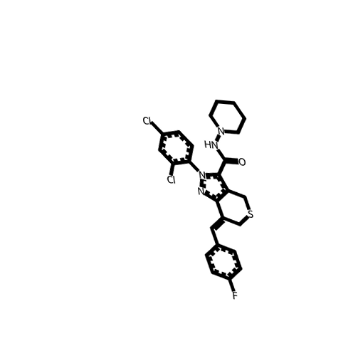 O=C(NN1CCCCC1)c1c2c(nn1-c1ccc(Cl)cc1Cl)/C(=C/c1ccc(F)cc1)CSC2